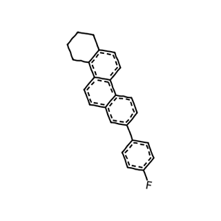 Fc1ccc(-c2ccc3c(ccc4c5c(ccc43)CCCC5)c2)cc1